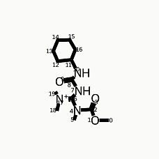 COC(=O)N(C)C(NC(=O)NC1CCCCC1)=[N+](C)C